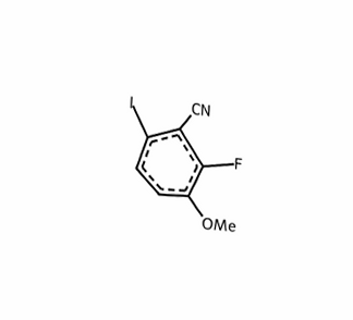 COc1ccc(I)c(C#N)c1F